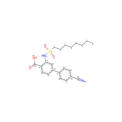 CCCCCCCCS(=O)(=O)Nc1cc(-c2ccc(C#N)cc2)ccc1C(=O)O